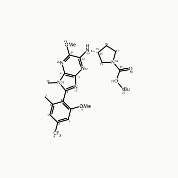 COc1cc(C(F)(F)F)cc(C)c1-c1nc2nc(N[C@@H]3CCN(C(=O)OC(C)(C)C)C3)c(OC)nc2n1C